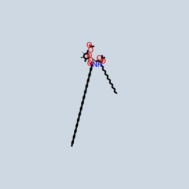 CC#CC#CC#CC#CC#CC#CC#CC#CC#CC#CC#CC#CC#CC#CC(=O)N[C@@H](CO[C@H]1OC(COC(C)=O)[C@@H](C)[C@H](C)C1C)[C@@H]1OC(C)(C)O[C@@H]1CCCCCCCCCCCCCC